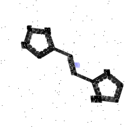 C(=C\c1ncc[nH]1)/c1cnsn1